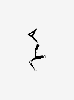 CCOC(=O)/C=I/C1CC1